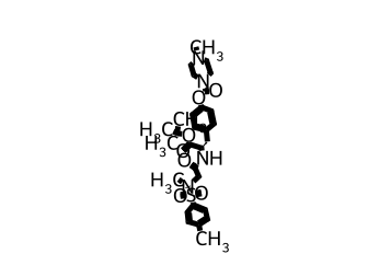 Cc1ccc(S(=O)(=O)N(C)CC(=O)N[C@@H](Cc2ccc(OC(=O)N3CCN(C)CC3)cc2)C(=O)OC(C)(C)C)cc1